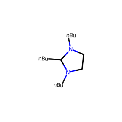 CCCCC1N(CCCC)CCN1CCCC